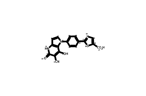 N#Cc1c(O)c2c(ccn2-c2ccc(-c3ncc(C(=O)O)s3)cc2)[nH]c1=O